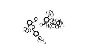 CC(C)(C)[Si](C)(C)Oc1cc(C=O)ccc1C1OCCO1.COc1ccc(COc2c(C=O)cccc2C2OCCO2)cc1